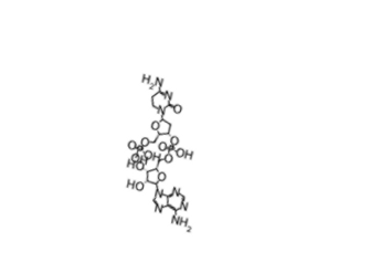 NC1=NC(=O)N([C@H]2C[C@H](OP(=O)(O)OC[C@H]3O[C@@H](n4cnc5c(N)ncnc54)[C@H](O)[C@@H]3O)[C@@H](COP(=O)(O)O)O2)CC1